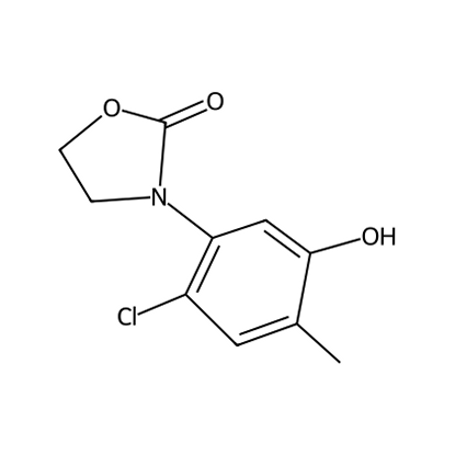 Cc1cc(Cl)c(N2CCOC2=O)cc1O